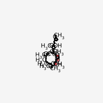 CCC1/C=C(\C)CC(C)CC(OC)C2OC(O)(C(=O)C(=O)N3CCCCC3C(=O)OC(C(C)=CC3CCC(O)(CC=Cc4cccc(OC)c4)C(OC)C3)C(C)CCC1=O)C(C)CC2OC